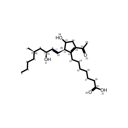 CCCC[C@@H](C)C[C@H](O)/C=C/[C@@H]1C(CCCCCCC(=O)O)=C(C(C)=O)CC1O